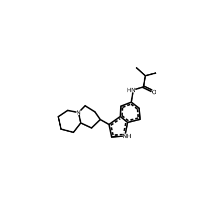 CC(C)C(=O)Nc1ccc2[nH]cc(C3CCN4CCCCC4C3)c2c1